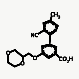 Cc1ccc(-c2cc(OCC3COCCO3)cc(C(=O)O)c2)c(C#N)c1